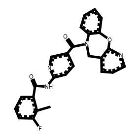 Cc1c(F)cccc1C(=O)Nc1ccc(C(=O)N2Cc3cccnc3Oc3ccccc32)cn1